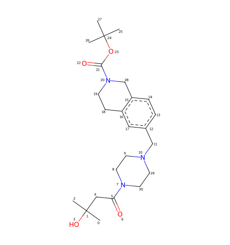 CC(C)(O)CC(=O)N1CCN(Cc2ccc3c(c2)CCN(C(=O)OC(C)(C)C)C3)CC1